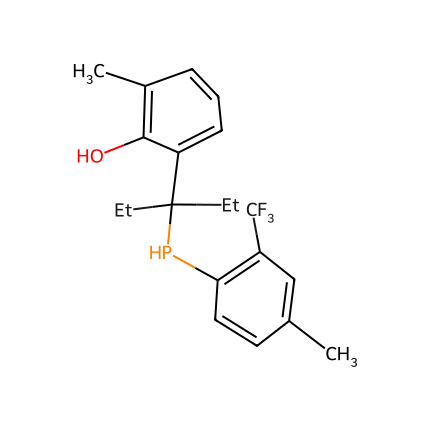 CCC(CC)(Pc1ccc(C)cc1C(F)(F)F)c1cccc(C)c1O